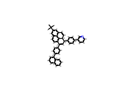 CC(C)(C)c1cc2c3c4c(ccc3c1)C(c1ccc(-c3cccc5ccccc35)cc1)=CC(c1ccc(-c3cccnc3)cc1)C4C=C2